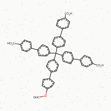 O=COc1ccc(-c2ccc(C(c3ccc(-c4ccc(C(=O)O)cc4)cc3)(c3ccc(-c4ccc(C(=O)O)cc4)cc3)c3ccc(-c4ccc(C(=O)O)cc4)cc3)cc2)cc1